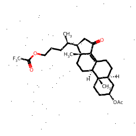 CC(=O)O[C@H]1CC[C@@]2(C)[C@@H](CCC3=C4C(=O)C[C@H]([C@H](C)CCCOC(=O)C(F)(F)F)[C@@]4(C)CC[C@@H]32)C1